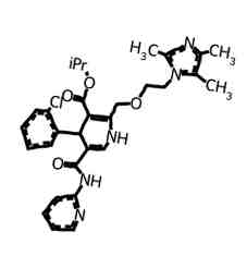 Cc1nc(C)n(CCOCC2=C(C(=O)OC(C)C)C(c3ccccc3Cl)C(C(=O)Nc3ccccn3)=CN2)c1C